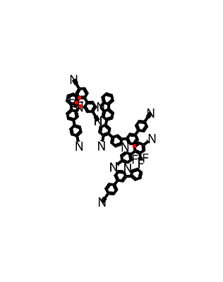 N#Cc1ccc(-c2ccc3c(c2)c2ccccc2n3-c2cc(-c3ccc(C#N)cc3C(F)(F)F)c(-n3c4ccc(-c5ccc(C#N)cc5)cc4c4cc(-c5cc(-c6ccc7c8ccccc8n(-c8cc(-c9ccc(C#N)cc9C(F)(F)F)c(-n9c%10ccccc%10c%10ccc(-c%11ccc(C#N)cc%11)cc%109)cc8C#N)c7c6)ccc5C#N)ccc43)cc2C#N)cc1